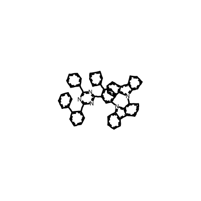 c1ccc(-c2nc(-c3ccccc3-c3ccccc3)nc(-c3cc(-n4c5ccccc5c5cccc(-n6c7ccccc7c7ccccc76)c54)ccc3-c3ccccc3)n2)cc1